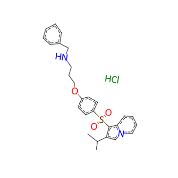 CC(C)c1cn2ccccc2c1S(=O)(=O)c1ccc(OCCCNCc2ccccc2)cc1.Cl